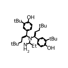 CCC(N)N(C(=CCC(C)(C)C)c1ccc(O)c(C(C)(C)C)c1)C(=CCC(C)(C)C)c1ccc(O)c(C(C)(C)C)c1